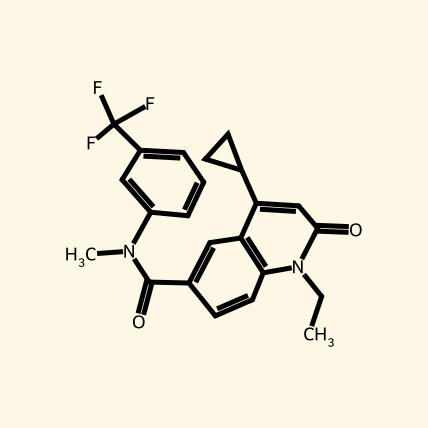 CCn1c(=O)cc(C2CC2)c2cc(C(=O)N(C)c3cccc(C(F)(F)F)c3)ccc21